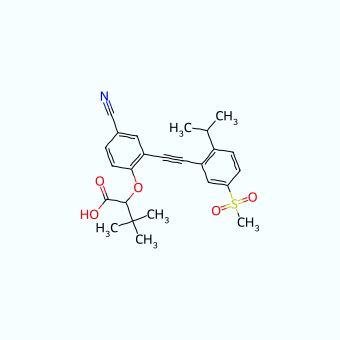 CC(C)c1ccc(S(C)(=O)=O)cc1C#Cc1cc(C#N)ccc1OC(C(=O)O)C(C)(C)C